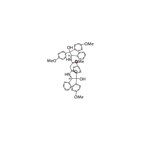 COc1ccc(C(O)(c2ccc(OC)cc2)[C@H](NC(=O)CC(=O)N[C@H](c2ccccc2)C(O)(c2ccc(OC)cc2)c2ccc(OC)cc2)c2ccccc2)cc1